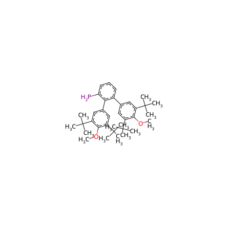 COc1c(C(C)(C)C)cc(-c2cccc(P)c2-c2cc(C(C)(C)C)c(OC)c(C(C)(C)C)c2)cc1C(C)(C)C